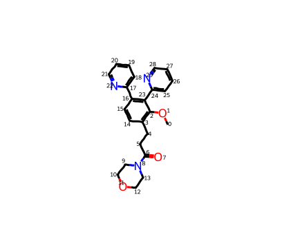 COc1c(CCC(=O)N2CCOCC2)ccc(-c2ccccn2)c1-c1ccccn1